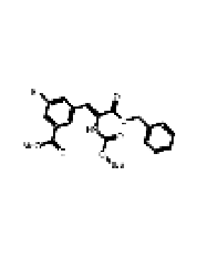 COC(=O)c1cc(Br)cc(/C=C(\NC(=O)OC(C)(C)C)C(=O)OCc2ccccc2)c1